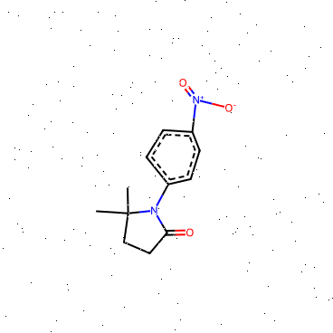 CC1(C)CCC(=O)N1c1ccc([N+](=O)[O-])cc1